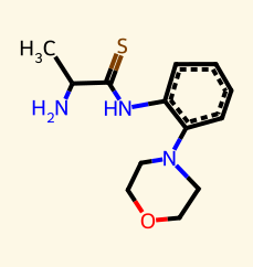 CC(N)C(=S)Nc1ccccc1N1CCOCC1